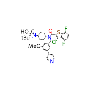 COc1cc(CN(C(=O)c2sc3c(F)ccc(F)c3c2Cl)C2CCC(N(CC(C)(C)C)C(=O)O)CC2)cc(-c2ccncc2)c1